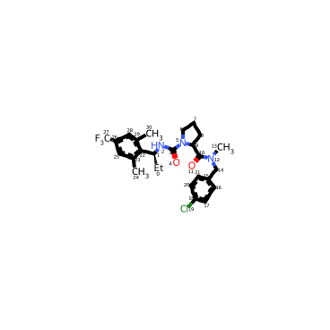 CC[C@H](NC(=O)N1CCCC1C(=O)N(C)Cc1ccc(Cl)cc1)c1c(C)cc(C(F)(F)F)cc1C